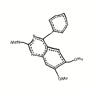 CNc1nc(-c2ccccc2)c2cc(OC)c(OC)cc2n1